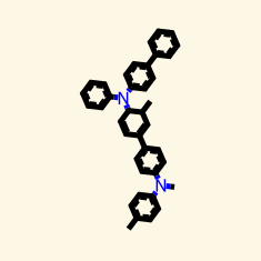 Cc1ccc(N(C)c2ccc(C3=CC(C)C(N(c4ccccc4)c4ccc(-c5ccccc5)cc4)C=C3)cc2)cc1